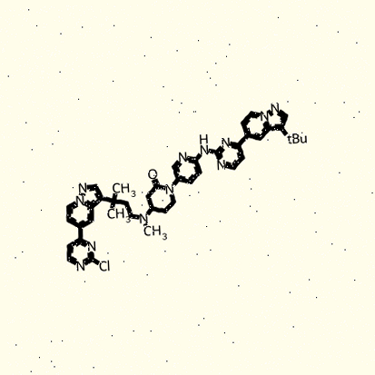 CN(CCC(C)(C)c1cnn2ccc(-c3ccnc(Cl)n3)cc12)C1CCN(c2ccc(Nc3nccc(-c4ccn5ncc(C(C)(C)C)c5c4)n3)nc2)C(=O)C1